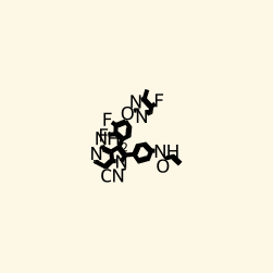 C=CC(=O)Nc1ccc(-c2c(-c3ccc(Oc4ncc(F)c(C)n4)c(F)c3F)c3c(N)ncc(C#N)c3n2C)cc1